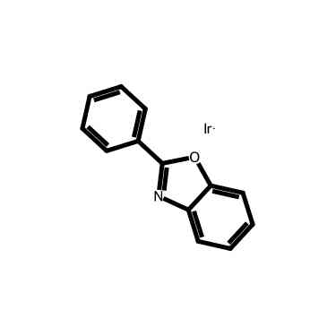 [Ir].c1ccc(-c2nc3ccccc3o2)cc1